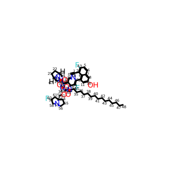 C#Cc1c(F)ccc2cc(O)cc(-c3ncc4c(N5C[C@@H]6CC[C@@H](C5)N6C(=O)O[C@H](C)OC(=O)CCCCCCCCCCCCCCC)nc(OC[C@@]56CCCN5C[C@H](F)C6)nc4c3F)c12